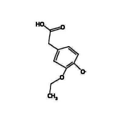 CCOc1cc(CC(=O)O)ccc1[O]